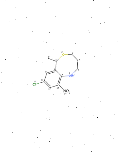 CC1SCCCNc2c1cc(Cl)cc2[N+](=O)[O-]